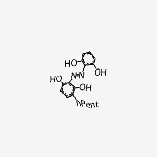 CCCCCc1ccc(O)c(N=Nc2c(O)cccc2O)c1O